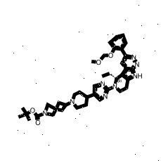 CC[C@@H]1c2c([nH]c3nnc(-c4ccccc4OCOC)cc23)CCN1c1ncc(C2CCN(C3CC4(C3)CN(C(=O)OC(C)(C)C)C4)CC2)cn1